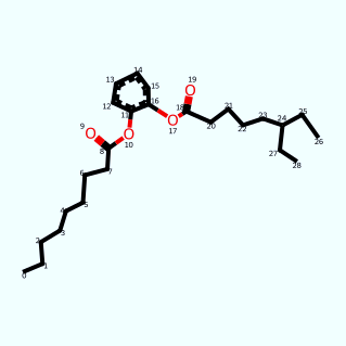 CCCCCCCCC(=O)Oc1ccccc1OC(=O)CCCCC(CC)CC